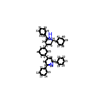 C1=C(c2cccc(-c3cc(-c4ccccc4)nc(-c4ccccc4)c3)c2)C=C(c2ccccc2)NC1c1ccccc1